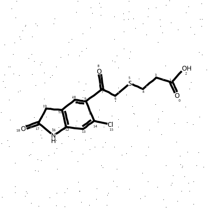 O=C(O)CCSCC(=O)c1cc2c(cc1Cl)NC(=O)C2